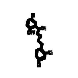 Oc1ccc(Cl)cc1C(O)COCCc1ccc(Cl)cc1Cl